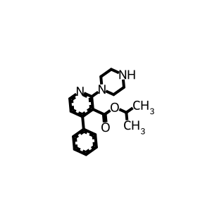 CC(C)OC(=O)c1c(-c2ccccc2)ccnc1N1CCNCC1